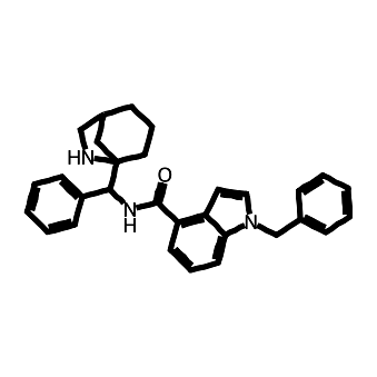 O=C(NC(c1ccccc1)C12CCCC(CN1)C2)c1cccc2c1ccn2Cc1ccccc1